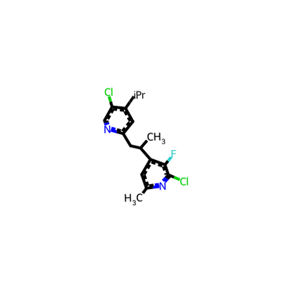 Cc1cc(C(C)Cc2cc(C(C)C)c(Cl)cn2)c(F)c(Cl)n1